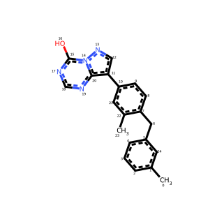 Cc1cccc(Cc2ccc(-c3cnn4c(O)ncnc34)cc2C)c1